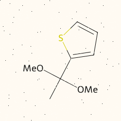 COC(C)(OC)c1cccs1